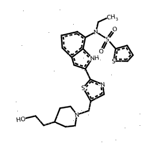 CCN(c1cccc2cc(-c3ncc(CN4CCC(CCO)CC4)s3)[nH]c12)S(=O)(=O)c1cccs1